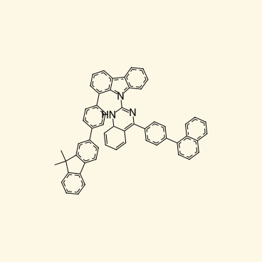 CC1(C)c2ccccc2-c2ccc(-c3ccc(-c4cccc5c6ccccc6n(C6=NC(c7ccc(-c8cccc9ccccc89)cc7)=C7C=CC=CC7N6)c45)cc3)cc21